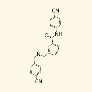 CN(Cc1ccc(C#N)cc1)Cc1cccc(C(=O)Nc2ccc(C#N)cc2)c1